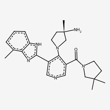 Cc1cccc2[nH]c(-c3cncc(C(=O)N4CCC(C)(C)C4)c3N3CC[C@](C)(N)C3)nc12